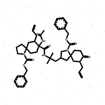 C=CCC1CC2(CCC1=O)CC(CC(C)(C)NC(=O)C1(NC(C)=O)CCC3(CCCN3C(=O)OCc3ccccc3)CC1CC=C)CN2C(=O)OCc1ccccc1